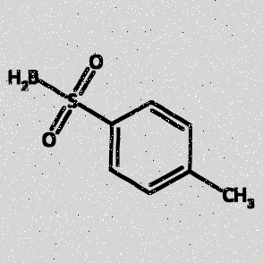 BS(=O)(=O)c1ccc(C)cc1